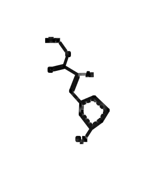 CCCCCCOC(=O)/C(=C/c1cccc([N+](=O)[O-])c1)C(C)=O